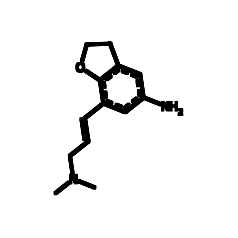 CN(C)CC=Cc1cc(N)cc2c1OCC2